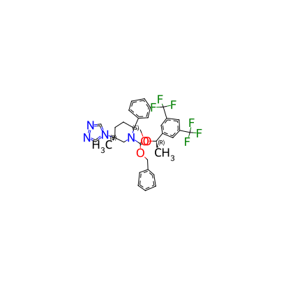 C[C@@H](OC[C@@]1(c2ccccc2)CC[C@@](C)(n2cnnc2)CN1C(=O)OCc1ccccc1)c1cc(C(F)(F)F)cc(C(F)(F)F)c1